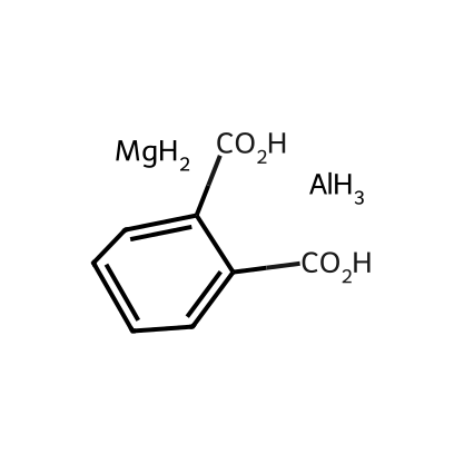 O=C(O)c1ccccc1C(=O)O.[AlH3].[MgH2]